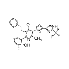 Cc1nc(-c2cccc(F)c2O)n(CCc2ccccc2)c(=O)c1-c1ccc(-c2c[nH]c(C(F)(F)F)n2)s1